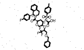 Cc1ccc(S(=O)(=O)N(C(=O)O)[C@H]2C[C@H](C(=O)N3CCc4ccccc4[C@@H]3c3ccc(F)cc3)OC[C@@H]2OC(COCc2ccccc2)C(F)(F)F)cc1